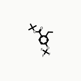 CCc1cc(OC(F)(F)F)ccc1C(=O)OC(C)(C)C